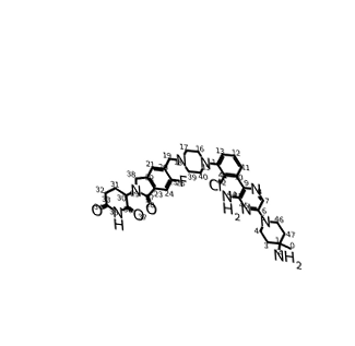 CC1(N)CCN(c2cnc(-c3cccc(N4CCN(Cc5cc6c(cc5F)C(=O)N(C5CCC(=O)NC5=O)C6)CC4)c3Cl)c(N)n2)CC1